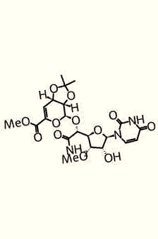 COC(=O)C1=C[C@@H]2OC(C)(C)O[C@@H]2[C@@H](O[C@@H](C(N)=O)[C@H]2O[C@@H](n3ccc(=O)[nH]c3=O)[C@H](O)[C@@H]2OC)O1